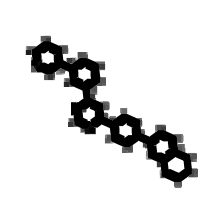 C1=Cc2cc(-c3ccc(-c4cc(-c5cccc(-c6cccnc6)c5)ncn4)cc3)ccc2CC1